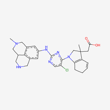 CN1Cc2cc(Nc3ncc(Cl)c(N4CC(C)(CC(=O)O)C5=C4CCC=C5)n3)cc3c2C(CNC3)C1